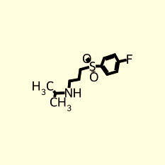 CC(C)NCCCS(=O)(=O)c1ccc(F)cc1